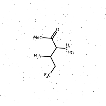 COC(=O)C(C)C(N)CC(F)(F)F.Cl